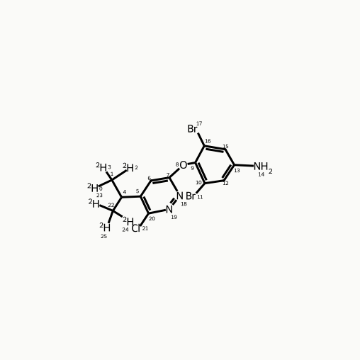 [2H]C([2H])([2H])C(c1cc(Oc2c(Br)cc(N)cc2Br)nnc1Cl)C([2H])([2H])[2H]